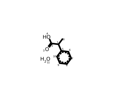 CC(C(=O)O)c1ccccc1.O